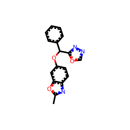 Cc1nc2ccc(OC(c3ccccc3)c3nnco3)cc2o1